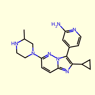 CC1CN(c2ccc3nc(C4CC4)c(-c4ccnc(N)c4)n3n2)CCN1